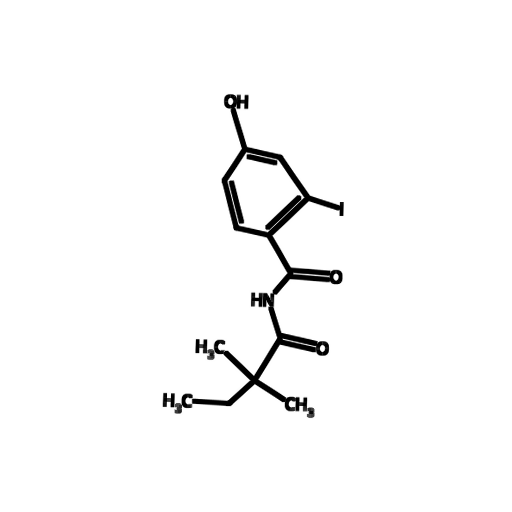 CCC(C)(C)C(=O)NC(=O)c1ccc(O)cc1I